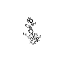 Cn1nc(Cl)cc1[S+]([O-])C(C)(C)C1CCN(C(=O)Nc2ccnnc2)CC1